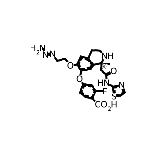 C[C@]1(CC(=O)Nc2nccs2)NCCc2cc(OCCN=NN)c(Oc3ccc(C(=O)O)c(F)c3)cc21